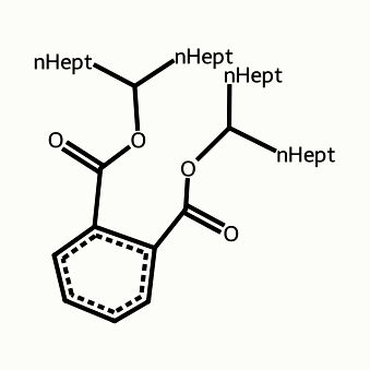 CCCCCCCC(CCCCCCC)OC(=O)c1ccccc1C(=O)OC(CCCCCCC)CCCCCCC